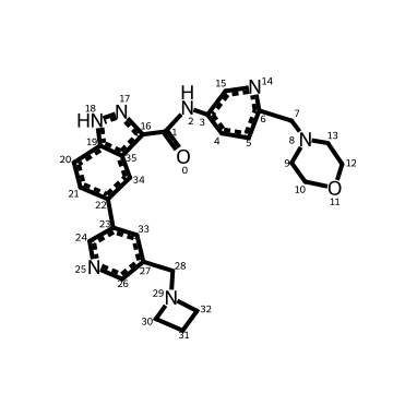 O=C(Nc1ccc(CN2CCOCC2)nc1)c1n[nH]c2ccc(-c3cncc(CN4CCC4)c3)cc12